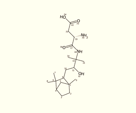 CC12CCC(C1)C(C)(C)C2CC(O)C(C)(C)NC(=O)[C@@H](N)CC(=O)O